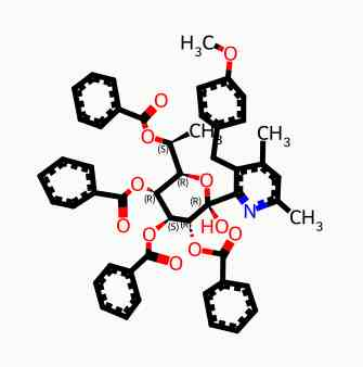 COc1ccc(Cc2c(C)cc(C)nc2[C@@]2(O)O[C@H]([C@H](C)OC(=O)c3ccccc3)[C@@H](OC(=O)c3ccccc3)[C@H](OC(=O)c3ccccc3)[C@H]2OC(=O)c2ccccc2)cc1